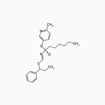 CCCCCCP(=O)(N=CSC(CC)c1ccccc1)Oc1ccc(C)nc1